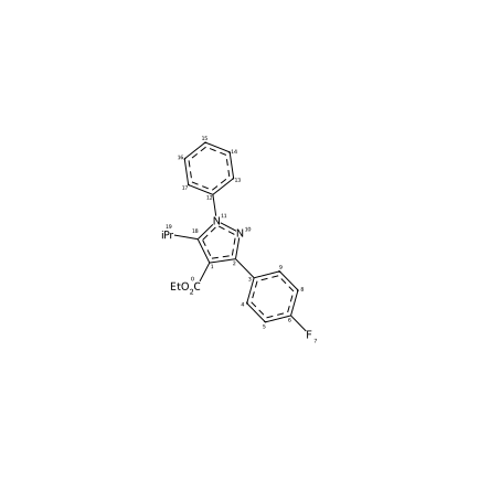 CCOC(=O)c1c(-c2ccc(F)cc2)nn(-c2ccccc2)c1C(C)C